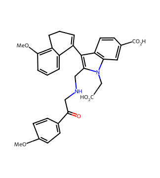 COc1ccc(C(=O)CNCc2c(C3=CCCc4c(OC)cccc43)c3ccc(C(=O)O)cc3n2CC(=O)O)cc1